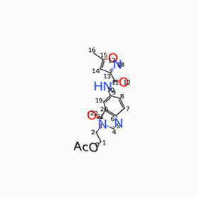 CC(=O)OCCn1cnc2ccc(NC(=O)c3cc(C)on3)cc2c1=O